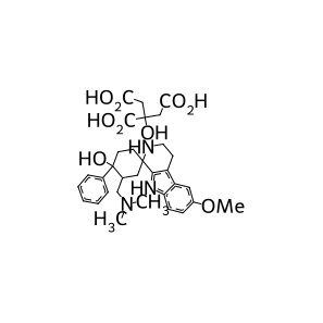 COc1ccc2[nH]c3c(c2c1)CCNC31CCC(O)(c2ccccc2)C(CN(C)C)C1.O=C(O)CC(O)(CC(=O)O)C(=O)O